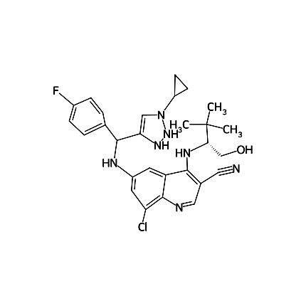 CC(C)(C)[C@H](CO)Nc1c(C#N)cnc2c(Cl)cc(NC(C3=CN(C4CC4)NN3)c3ccc(F)cc3)cc12